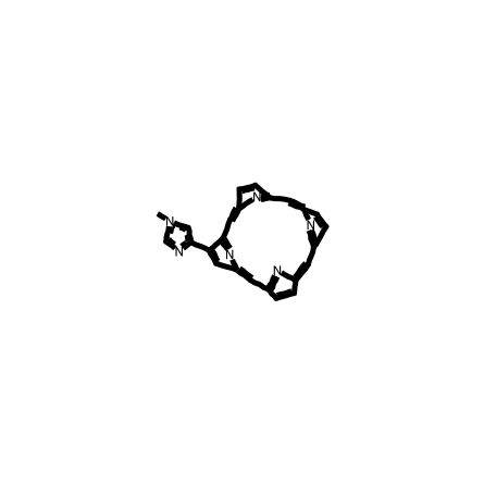 Cn1cnc(C2=CC3=CC4=NC(=CC5=NC(=CC6=NC(=CC2=N3)C=C6)C=C5)C=C4)c1